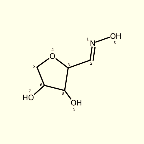 ON=CC1OCC(O)C1O